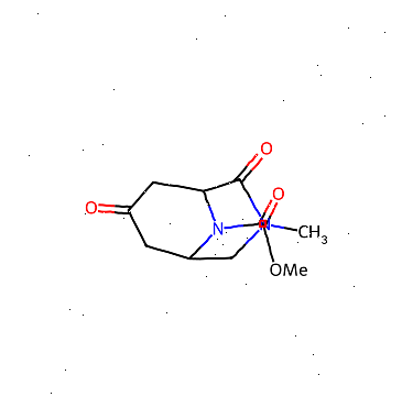 COC(=O)N1C2CC(=O)CC1C(=O)N(C)C2